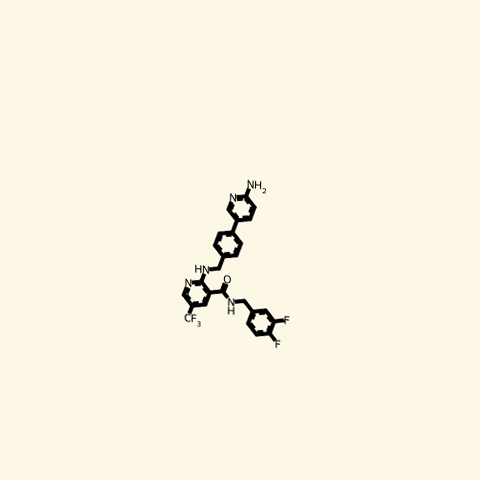 Nc1ccc(-c2ccc(CNc3ncc(C(F)(F)F)cc3C(=O)NCc3ccc(F)c(F)c3)cc2)cn1